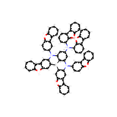 c1ccc2c(c1)oc1ccc(N3c4cc5c(cc4B4c6cc7oc8ccccc8c7cc6N(c6ccc7oc8ccccc8c7c6)c6cc(N(c7cccc8c7oc7ccccc78)c7cccc8c7oc7ccccc78)cc3c64)oc3ccccc35)cc12